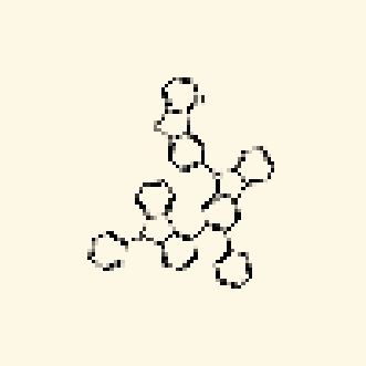 c1ccc(-c2cc3c4ccccc4n(-c4ccc5oc6cccnc6c5c4)c3cc2-c2cccc3c2c2ccccc2n3-c2ccccc2)cc1